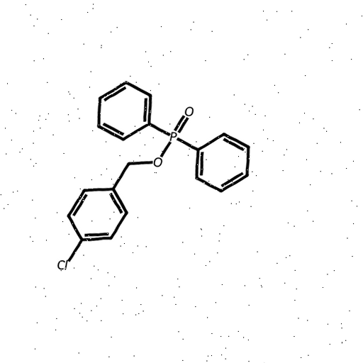 O=P(OCc1ccc(Cl)cc1)(c1ccccc1)c1ccccc1